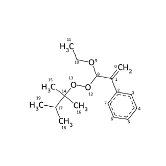 C=C(c1ccccc1)C(OCC)OOC(C)(C)C(C)C